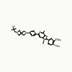 COc1ccc(-c2nc3c(C)nc(-c4ccc(N5CC6(CN(CC(C)(C)O)C6)C5)cc4)cc3n2C)cc1OC